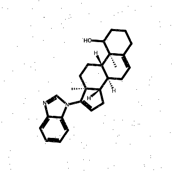 C[C@]12CC[C@H]3[C@@H](CC=C4CCCC(O)[C@@]43C)[C@@H]1CC=C2n1cnc2ccccc21